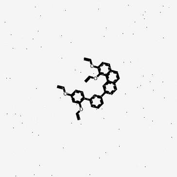 C=COc1ccc(-c2cccc(-c3ccc4ccc5ccc(OC=C)c(OC=C)c5c4c3)c2)c(OC=C)c1